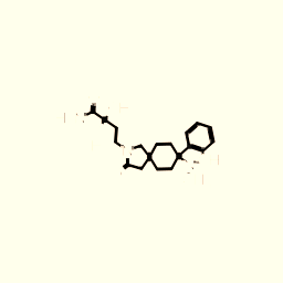 CN(C)C1(c2ccccc2)CCC2(CC1)CC(=O)N(CCC(C)(C)C(N)=O)C2